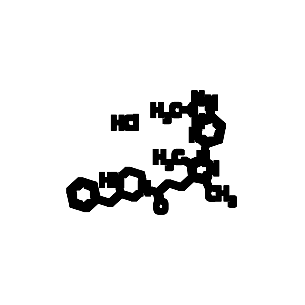 Cc1nn(-c2ccc3nnc(C)n3n2)c(C)c1CCC(=O)N1CCNC(Cc2ccccc2)C1.Cl